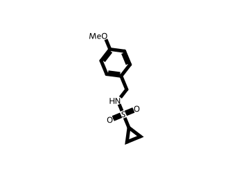 COc1ccc(CNS(=O)(=O)C2CC2)cc1